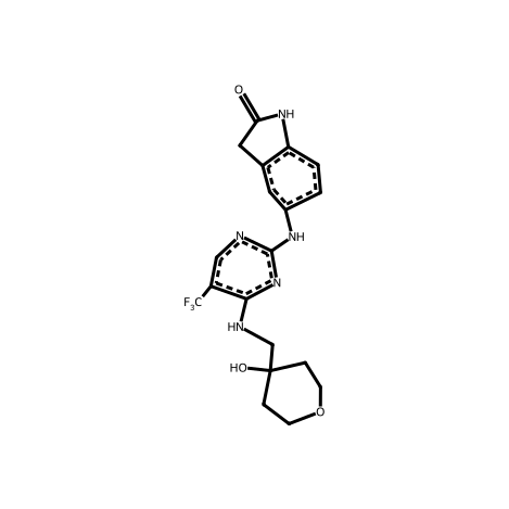 O=C1Cc2cc(Nc3ncc(C(F)(F)F)c(NCC4(O)CCOCC4)n3)ccc2N1